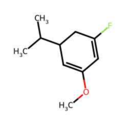 COC1=CC(C(C)C)CC(F)=C1